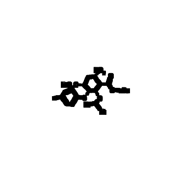 CCCCOC(=O)[C@H]1[C@H](OC(CC)CC)[C@H](Sc2ccc(C)cc2)[C@H](C(=O)OCC)C[C@@H]1[N+](=O)[O-]